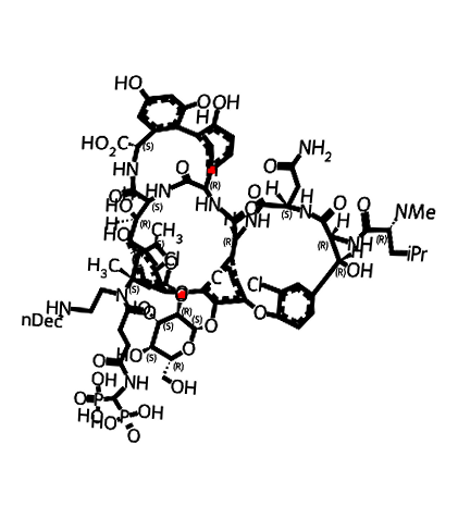 CCCCCCCCCCNCCN(C(=O)CCC(=O)NC(P(=O)(O)O)P(=O)(O)O)[C@@]1(C)C[C@H](O[C@H]2[C@H](Oc3c4cc5cc3Oc3ccc(cc3Cl)[C@@H](O)[C@@H](NC(=O)[C@@H](CC(C)C)NC)C(=O)N[C@@H](CC(N)=O)C(=O)N[C@H]5C(=O)N[C@H]3C(=O)N[C@H](C(=O)N[C@H](C(=O)O)c5cc(O)cc(O)c5-c5cc3ccc5O)[C@H](O)c3ccc(c(Cl)c3)O4)O[C@H](CO)[C@@H](O)[C@@H]2O)O[C@@H](C)[C@H]1O